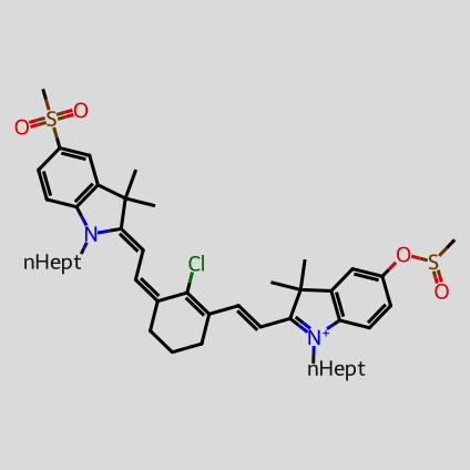 CCCCCCCN1C(=CC=C2CCCC(C=CC3=[N+](CCCCCCC)c4ccc(OS(C)=O)cc4C3(C)C)=C2Cl)C(C)(C)c2cc(S(C)(=O)=O)ccc21